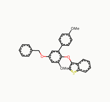 COc1ccc(-c2cc(OCc3ccccc3)cc(OC)c2Oc2csc3ccccc23)cc1